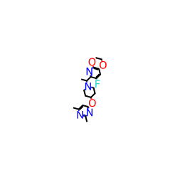 Cc1cc(OC2CCN(C(C)c3nc4c(cc3F)OCCO4)CC2)nc(C)n1